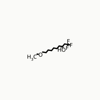 CCOCCCCCCC[C@@H](O)CC(F)(F)F